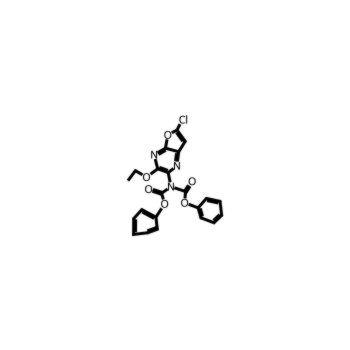 CCOc1nc2oc(Cl)cc2nc1N(C(=O)Oc1ccccc1)C(=O)Oc1ccccc1